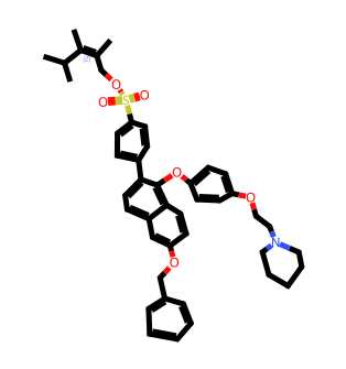 C/C(COS(=O)(=O)c1ccc(-c2ccc3cc(OCc4ccccc4)ccc3c2Oc2ccc(OCCN3CCCCC3)cc2)cc1)=C(\C)C(C)C